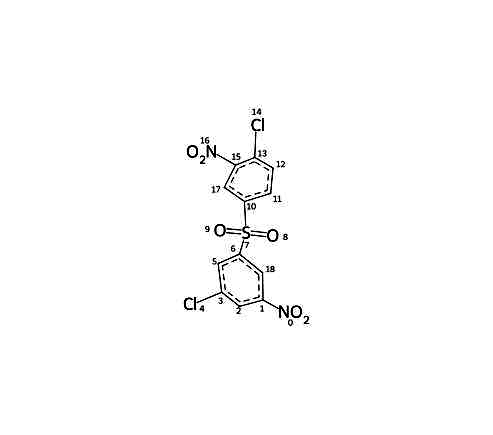 O=[N+]([O-])c1cc(Cl)cc(S(=O)(=O)c2ccc(Cl)c([N+](=O)[O-])c2)c1